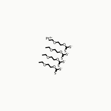 CCOCCOC(=S)[S-].CCOCCOC(=S)[S-].CCOCCOC(=S)[S-].CCOCCOC(=S)[S-].[Pt+4]